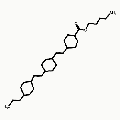 CCCCCOC(=O)C1CCC(CCC2CCC(CCC3CCC(CCC)CC3)CC2)CC1